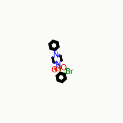 O=S(=O)(c1ccccc1Br)N1CCN(c2ccccc2)CC1